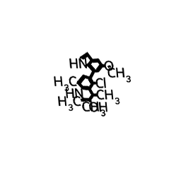 COc1cc(-c2cc(C)c3c(c2Cl)C(C)C(O)C(C)(C)N3)c2[nH]ccc2c1